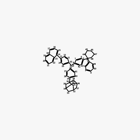 c1ccc(C2(c3ccc(N(c4ccc(-c5cccc6ccccc56)cc4)c4ccc(C56CC7CC(CC(C7)C5)C6)cc4)cc3)CCCCC2)cc1